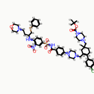 CC1(CN2CCN(C(=O)OC(C)(C)C)CC2)CCC(c2ccc(Cl)cc2)=C(CN2CCN(c3ccc(C(=O)NS(=O)(=O)c4ccc(NC(CCN5CCOCC5)CSc5ccccc5)c([N+](=O)[O-])c4)cc3)CC2)C1